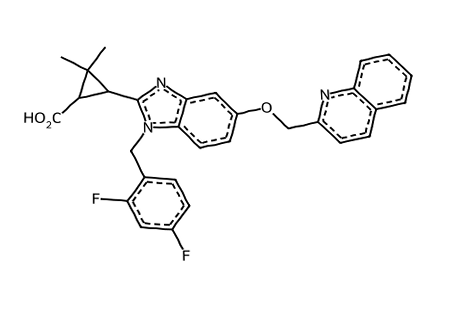 CC1(C)C(C(=O)O)C1c1nc2cc(OCc3ccc4ccccc4n3)ccc2n1Cc1ccc(F)cc1F